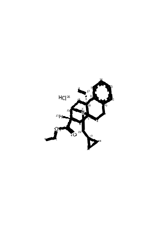 CCOC(=O)[C@H]1CC2C3Cc4ccccc4[C@]2(CC)CC1N3CC1CC1.Cl